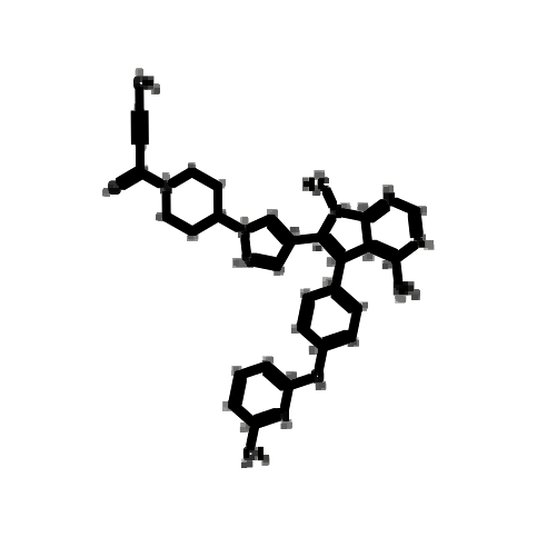 CC#CC(=O)N1CCC(n2cc(-c3c(-c4ccc(Oc5cccc(C)n5)cc4)c4c(N)ncnc4n3C)cn2)CC1